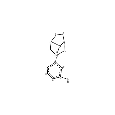 CN1C2CCC1CN(c1cccc(Br)n1)C2